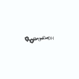 OCCOCCOCCOc1cccc(-c2ccccc2)c1